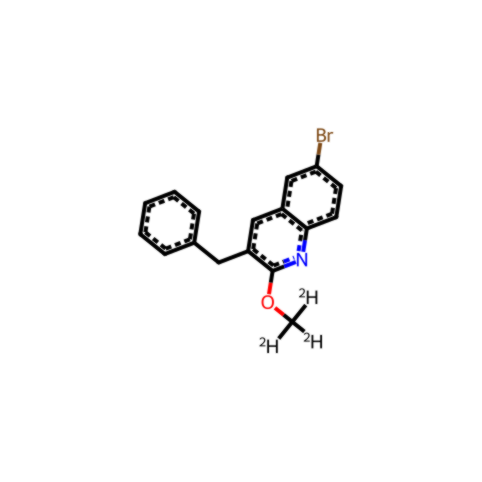 [2H]C([2H])([2H])Oc1nc2ccc(Br)cc2cc1Cc1ccccc1